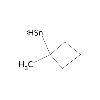 C[C]1([SnH])CCC1